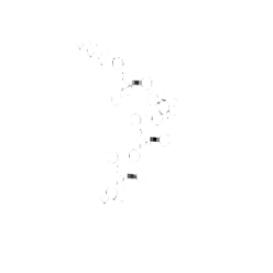 O=[Si]([O-])[O-].O=[Si]([O-])[O-].O=[Si]([O-])[O-].[O-2].[O-2].[O-2].[Y+3].[Y+3].[Y+3].[Y+3]